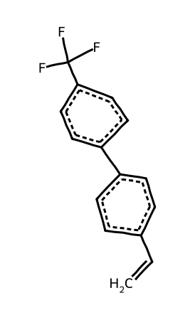 C=Cc1ccc(-c2ccc(C(F)(F)F)cc2)cc1